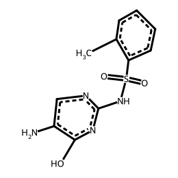 Cc1ccccc1S(=O)(=O)Nc1ncc(N)c(O)n1